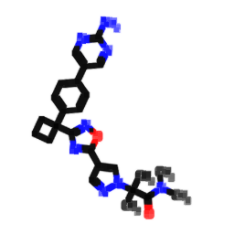 CN(C)C(=O)C(C)(C)n1cc(-c2nc(C3(c4ccc(-c5cnc(N)nc5)cc4)CCC3)no2)cn1